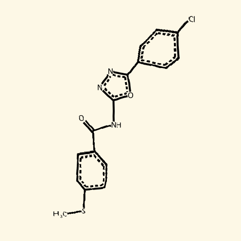 CSc1ccc(C(=O)Nc2nnc(-c3ccc(Cl)cc3)o2)cc1